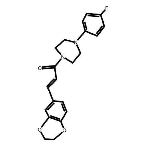 O=C(/C=C/c1ccc2c(c1)OCCO2)N1CCN(c2ccc(F)cc2)CC1